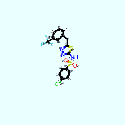 O=S(=O)(Nc1nnc(Cc2cccc(C(F)(F)F)c2)s1)c1ccc(Cl)cc1